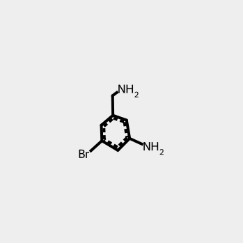 NCc1cc(N)cc(Br)c1